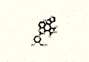 CC(C)[C@@H]1CCN(c2nc(C3=C(c4c[nH]c5sccc45)C(=O)NC3=O)c3ccccc3n2)C[C@H]1CO